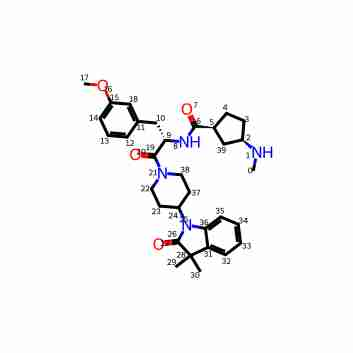 CN[C@@H]1CC[C@H](C(=O)N[C@@H](Cc2cccc(OC)c2)C(=O)N2CCC(N3C(=O)C(C)(C)c4ccccc43)CC2)C1